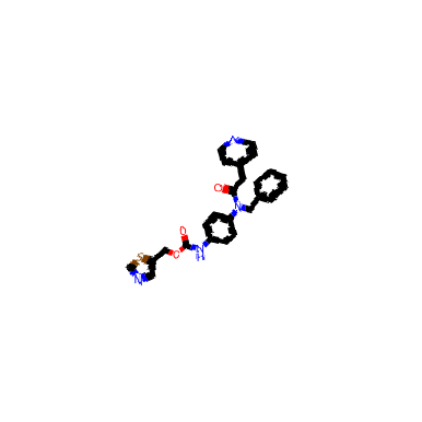 O=C(Nc1ccc(N(Cc2ccccc2)C(=O)Cc2ccncc2)cc1)OCc1cncs1